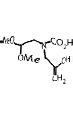 C=C(C)CN(CC(OC)OC)C(=O)O